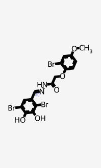 COc1ccc(OCC(=O)N/N=C/c2cc(Br)c(O)c(O)c2Br)c(Br)c1